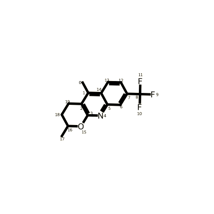 Cc1c2c(nc3cc(C(F)(F)F)ccc13)OC(C)CC2